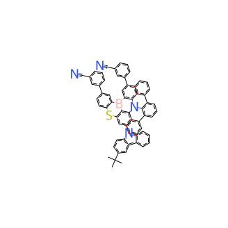 CC(C)(C)c1ccc2c(c1)c1ccccc1n2-c1cc2c3c(c1)N(c1c(-c4ccccc4)cccc1-c1ccccc1)c1ccc(-c4cccc(C#N)c4)cc1B3c1cc(-c3cccc(C#N)c3)ccc1S2